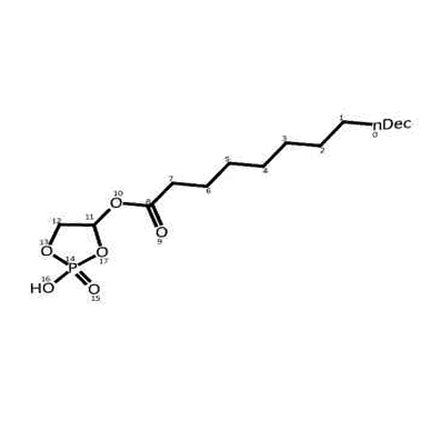 CCCCCCCCCCCCCCCCCC(=O)OC1COP(=O)(O)O1